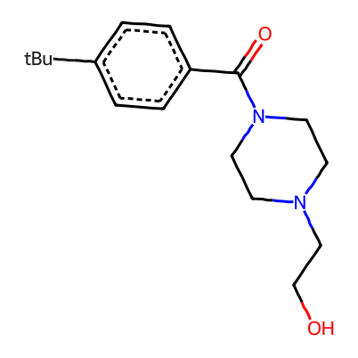 CC(C)(C)c1ccc(C(=O)N2CCN(CCO)CC2)cc1